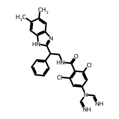 Cc1cc2nc(C(CNC(=O)c3c(Cl)cc(N(C=N)C=N)cc3Cl)c3ccccc3)[nH]c2cc1C